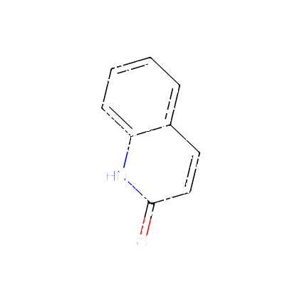 O=c1ccc2c[c]ccc2[nH]1